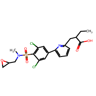 CCC(Cc1cccc(-c2cc(Cl)c(S(=O)(=O)N(C)CC3CO3)c(Cl)c2)n1)C(=O)O